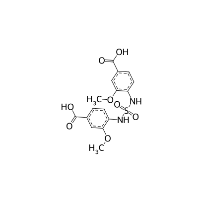 COc1cc(C(=O)O)ccc1NS(=O)(=O)Nc1ccc(C(=O)O)cc1OC